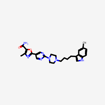 Cc1nc(-c2cnc(N3CCN(CCCCc4c[nH]c5ccc(C#N)cc45)CC3)nc2)oc1C(N)=O